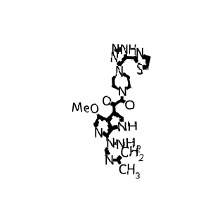 C=C(C)/N=C\N(N)c1ncc(OC)c2c(C(=O)C(=O)N3CCN(c4nn[nH]c4-c4nccs4)CC3)c[nH]c12